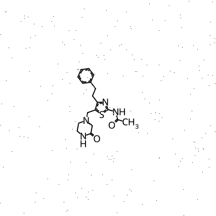 CC(=O)Nc1nc(CCc2cc[c]cc2)c(CN2CCNC(=O)C2)s1